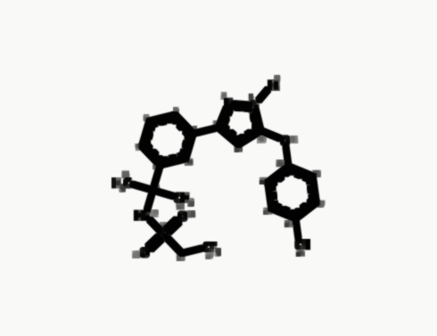 CCn1nc(-c2cccc(C(C)(C)NS(=O)(=O)CC(F)(F)F)c2)cc1Oc1ccc(C#N)cc1